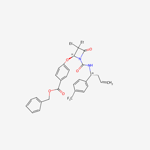 C=CC[C@@H](NC(=O)N1C(=O)C(CC)(CC)[C@@H]1Oc1ccc(C(=O)OCc2ccccc2)cc1)c1ccc(C(F)(F)F)cc1